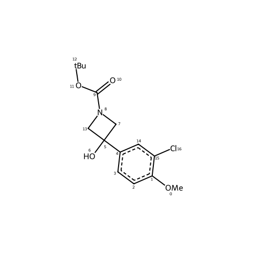 COc1ccc(C2(O)CN(C(=O)OC(C)(C)C)C2)cc1Cl